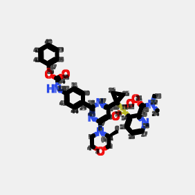 C[C@H]1COCCN1c1cc(C2(S(=O)(=O)c3cccnc3C(=O)N(C)C)CC2)nc(-c2ccc(NC(=O)Oc3ccccc3)cc2)n1